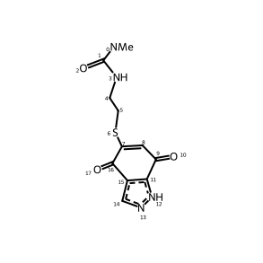 CNC(=O)NCCSC1=CC(=O)c2[nH]ncc2C1=O